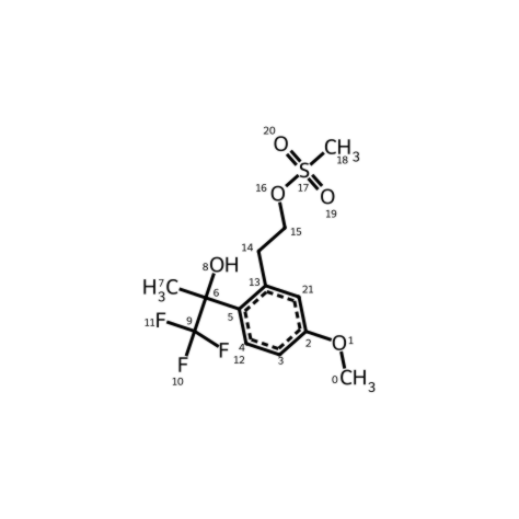 COc1ccc(C(C)(O)C(F)(F)F)c(CCOS(C)(=O)=O)c1